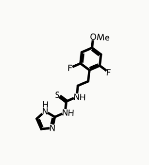 COc1cc(F)c(CCNC(=S)Nc2ncc[nH]2)c(F)c1